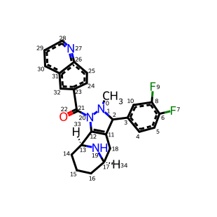 CN1C(c2ccc(F)c(F)c2)C2=C([C@@H]3CCC[C@H](C2)N3)N1C(=O)c1ccc2ncccc2c1